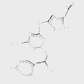 Cc1nc(Nc2cc(C(F)(F)F)[nH]n2)nc(NC(C)c2ccc(F)cc2F)n1